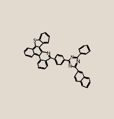 c1ccc(-c2nc(-c3ccc(-c4nc5c(c6ccccc46)c4ccccc4c4sc6ccccc6c54)cc3)nc(-c3ccc4ccccc4c3)n2)cc1